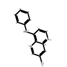 Clc1cnc2c(Nc3cc[c]cc3)ccnc2c1